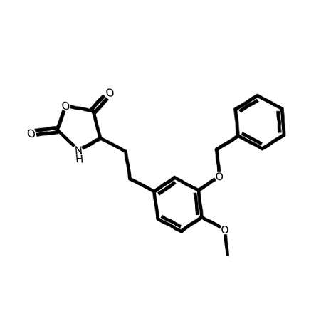 COc1ccc(CCC2NC(=O)OC2=O)cc1OCc1ccccc1